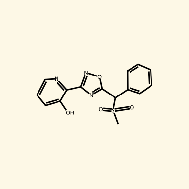 CS(=O)(=O)C(c1ccccc1)c1nc(-c2ncccc2O)no1